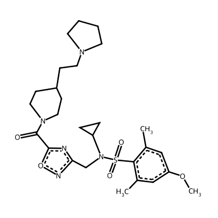 COc1cc(C)c(S(=O)(=O)N(Cc2noc(C(=O)N3CCC(CCN4CCCC4)CC3)n2)C2CC2)c(C)c1